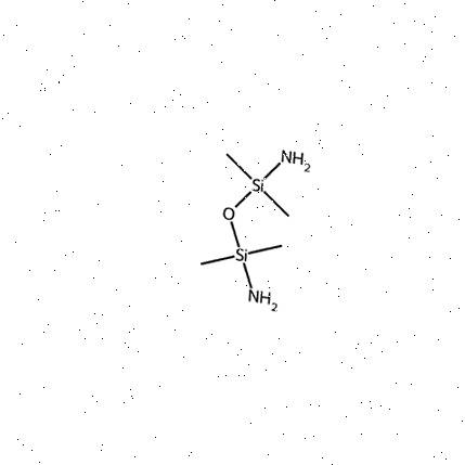 C[Si](C)(N)O[Si](C)(C)N